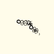 COC(=O)[C@@H](Cc1ccccc1)CN1CC[C@@](C)(c2cccc(OS(=O)(=O)C(F)(F)F)c2)[C@@H](C)C1